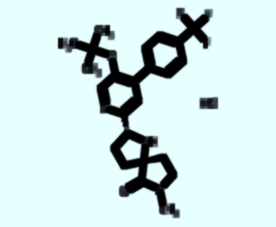 CN1CC[C@]2(CC[C@H](c3cc(-c4ccc(C(F)(F)F)cc4)c(OC(C)(C)C)cn3)N2)C1=O.Cl